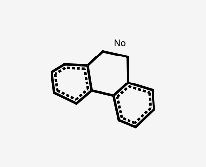 [No].c1ccc2c(c1)CCc1ccccc1-2